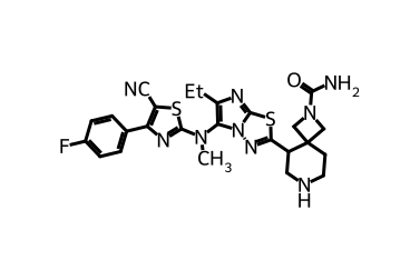 CCc1nc2sc(C3CNCCC34CN(C(N)=O)C4)nn2c1N(C)c1nc(-c2ccc(F)cc2)c(C#N)s1